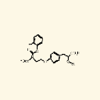 CCCCCCCCN(CCOc1ccc(CC(OCC)C(=O)O)cc1)C(=O)Oc1ccccc1F